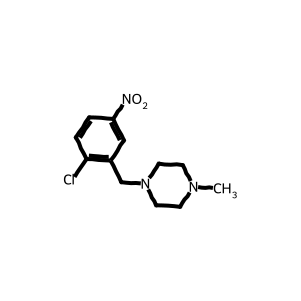 CN1CCN(Cc2cc([N+](=O)[O-])ccc2Cl)CC1